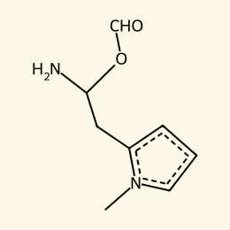 Cn1cccc1CC(N)OC=O